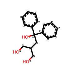 OCC(CO)CC(O)(c1ccccc1)c1ccccc1